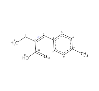 CC/C(=C/c1ccc(C)cc1)C(=O)O